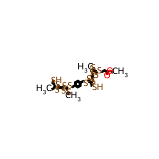 CCOC(=O)CCSC1=C(SC)S/C(=C2/SC(CS)=C(SCc3ccc(CSC4=C(SC)S/C(=C5\SC(CC)=C(CS)S5)S4)cc3)S2)S1